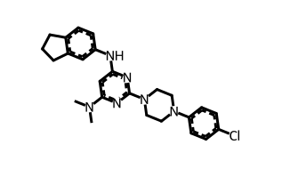 CN(C)c1cc(Nc2ccc3c(c2)CCC3)nc(N2CCN(c3ccc(Cl)cc3)CC2)n1